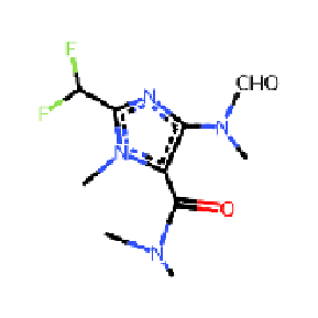 CN(C)C(=O)c1c(N(C)C=O)nc(C(F)F)n1C